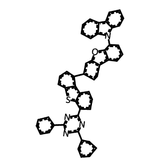 c1ccc(-c2nc(-c3ccccc3)nc(-c3cccc4c3sc3cccc(-c5ccc6c(c5)oc5c(-n7c8ccccc8c8ccccc87)cccc56)c34)n2)cc1